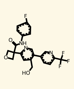 O=C(Nc1ccc(F)cc1)C1(c2cc(CO)c(-c3ccc(C(F)(F)F)nc3)cn2)COC1